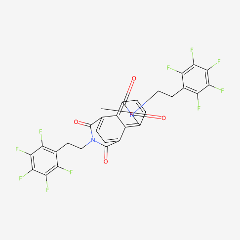 O=c1c2ccc(c(=O)n1CCc1c(F)c(F)c(F)c(F)c1F)c1c3ccc(c(=O)n(CCc4c(F)c(F)c(F)c(F)c4F)c3=O)c21